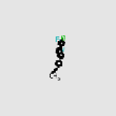 CCCCC[C@H]1CC[C@H](c2ccc3c(F)c(-c4ccc(Cl)c(F)c4)ccc3c2)CC1